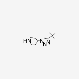 CC(C)(C)c1cn(C2CCNCC2)nn1